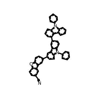 N#Cc1ccc2oc3ccc(-c4ccc5c(c4)c4cc(-c6cccc7c6c6ccccc6n7-c6ccccc6)ccc4n5-c4ccccc4)cc3c2c1